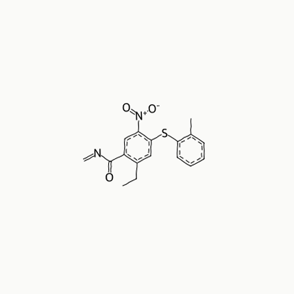 C=NC(=O)c1cc([N+](=O)[O-])c(Sc2ccccc2C)cc1CC